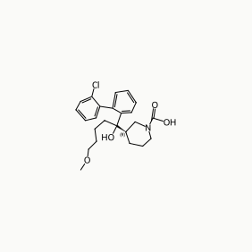 COCCCCC(O)(c1ccccc1-c1ccccc1Cl)[C@@H]1CCCN(C(=O)O)C1